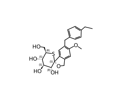 CCc1ccc(Cc2cc3c(cc2OC)CO[C@]32S[C@H](CO)[C@@H](O)[C@H](O)[C@H]2O)cc1